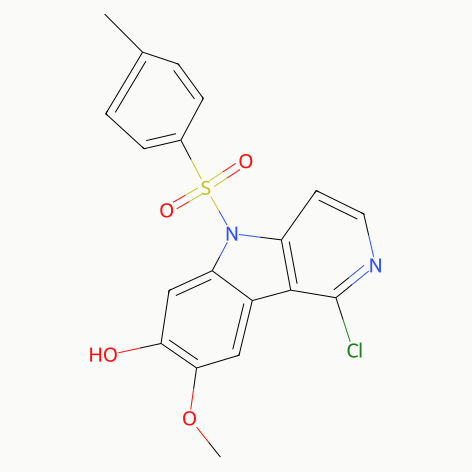 COc1cc2c3c(Cl)nccc3n(S(=O)(=O)c3ccc(C)cc3)c2cc1O